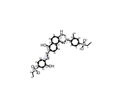 CCS(=O)(=O)c1ccc(/N=N/c2c(NC)ccc3c(O)c(/N=N/c4ccc(S(=O)(=O)CC)cc4O)ccc23)c(C)c1